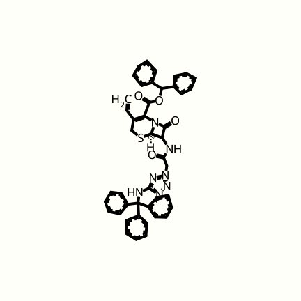 C=CC1=C(C(=O)OC(c2ccccc2)c2ccccc2)N2C(=O)C(NC(=O)Cn3nnc(NC(c4ccccc4)(c4ccccc4)c4ccccc4)n3)[C@H]2SC1